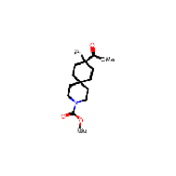 COC(=O)C1(C(C)C)CCC2(CCN(C(=O)OC(C)(C)C)CC2)CC1